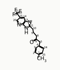 Cc1ccc(CC(=O)CCCc2nc3cc(C(F)(F)F)cnc3[nH]2)cc1